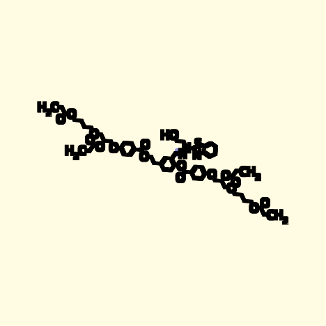 C=CC(=O)OCCCCOCC(COc1ccc(C(=O)OCCc2ccc(OC(=O)c3ccc(OCC(COCCCCOC(=O)C=C)OC(=O)C=C)cc3)c(/C=N/N(CCO)c3nc4ccccc4s3)c2)cc1)OC(=O)C=C